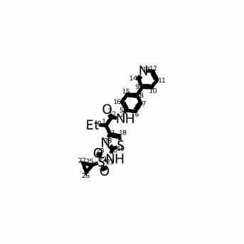 CCC(C(=O)Nc1ccc(-c2cccnc2)cc1)c1csc(NS(=O)(=O)C2CC2)n1